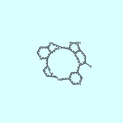 Fc1cc2[nH]nc3c4nc5c(ccnc5c5ccc([nH]c6cncc(c6)c1cc23)s5)[nH]4